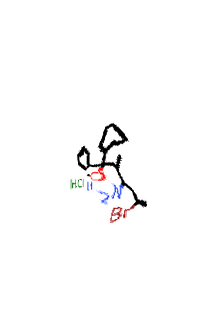 C=C(Br)CC(N)C(C)C(OC)(c1ccccc1)c1ccccc1.Cl